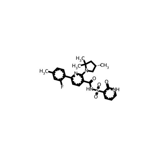 Cc1ccc(-c2ccc(C(=O)NS(=O)(=O)c3ccc[nH]c3=O)c(N3C[C@@H](C)CC3(C)C)n2)c(F)c1